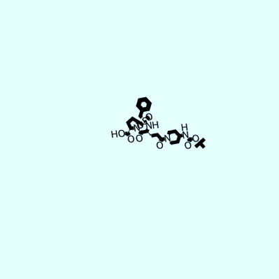 CC(C)(C)OC(=O)NC1CCN(C(=O)CC[C@@H](NS(=O)(=O)Cc2ccccc2)C(=O)N2CCC[C@H]2C(=O)O)CC1